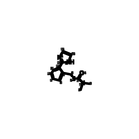 CN(C)C(=O)SCc1ccccc1-c1ncc[nH]1